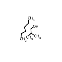 CC(C)CO.CCCCCC